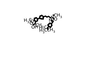 CCn1c(CCCc2ccc(-c3ccc(OC)c([C@H](C)C(=O)O)c3)cc2)nn(Cc2ccc(C(C)(C)C)cc2)c1=O